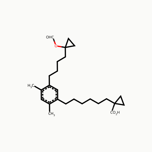 Cc1cc(C)c(CCCCC2(OC=O)CC2)cc1CCCCCCC1(C(=O)O)CC1